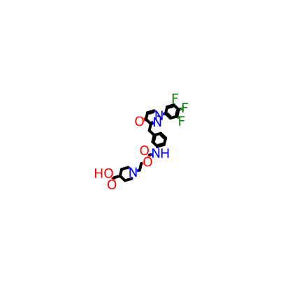 O=C(Nc1cccc(Cc2nn(-c3cc(F)c(F)c(F)c3)ccc2=O)c1)OCCN1CCC(C(=O)O)CC1